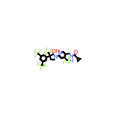 O=C(NCc1cnc(N2CCC(c3cc(C(F)(F)F)cc(C(F)(F)F)c3)(C(F)(F)F)C2O)cc1C(F)(F)F)C1CC1